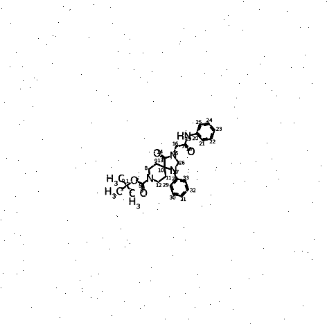 CC(C)(C)OC(=O)N1CCC2(CC1)C(=O)N(CC(=O)Nc1ccccc1)CN2c1ccccc1